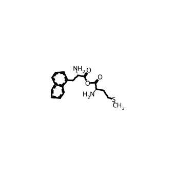 CSCC[C@H](N)C(=O)OC(=O)[C@@H](N)Cc1cccc2ccccc12